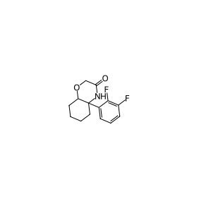 O=C1COC2CCCCC2(c2cccc(F)c2F)N1